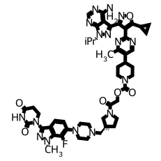 Cc1nc(-c2c(-c3nn(C(C)C)c4ncnc(N)c34)noc2C2CC2)ncc1C1CCN(C(=O)OCC(=O)N2CC[C@@H](CN3CCN(c4ccc5c(N6CCC(=O)NC6=O)nn(C)c5c4F)CC3)C2)CC1